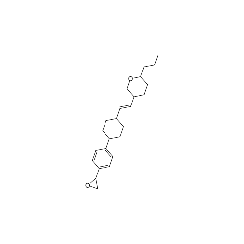 CCCC1CCC(/C=C/C2CCC(c3ccc(C4CO4)cc3)CC2)CO1